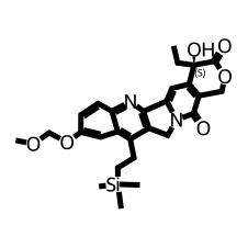 CC[C@@]1(O)C(=O)OCc2c1cc1n(c2=O)Cc2c-1nc1ccc(OCOC)cc1c2CC[Si](C)(C)C